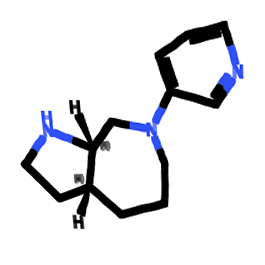 c1cncc(N2CCC[C@@H]3CCN[C@@H]3C2)c1